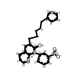 O=c1c(CCCCCc2cccnc2)cc2cccnc2n1-c1cccc([N+](=O)[O-])c1